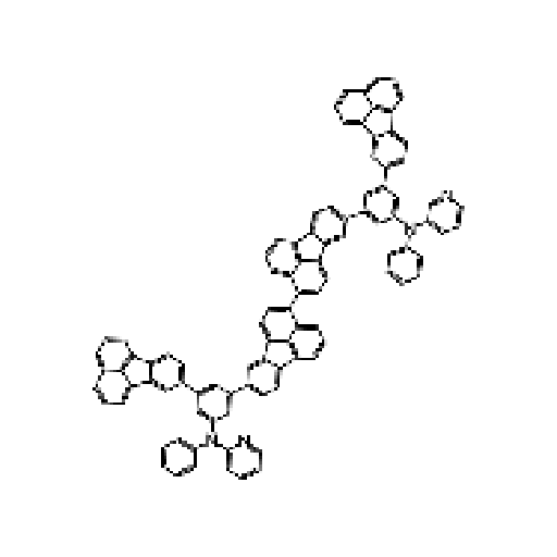 c1ccc(N(c2cccnc2)c2cc(-c3ccc4c(c3)-c3cccc5cccc-4c35)cc(-c3ccc4c(c3)-c3ccc(-c5ccc6c7c(cccc57)-c5ccc(-c7cc(-c8ccc9c(c8)-c8cccc%10cccc-9c8%10)cc(N(c8ccccc8)c8ccccn8)c7)cc5-6)c5cccc-4c35)c2)cc1